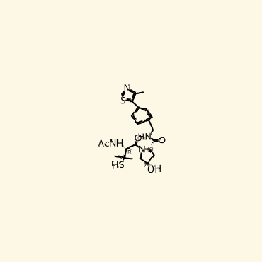 CC(=O)N[C@H](C(=O)N1C[C@H](O)C[C@H]1C(=O)NCc1ccc(-c2scnc2C)cc1)C(C)(C)S